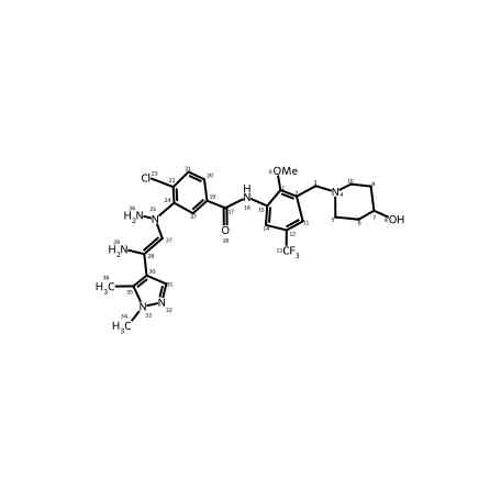 COc1c(CN2CCC(O)CC2)cc(C(F)(F)F)cc1NC(=O)c1ccc(Cl)c(N(N)/C=C(\N)c2cnn(C)c2C)c1